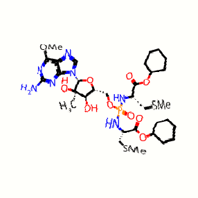 COc1nc(N)nc2c1ncn2[C@@H]1O[C@H](COP(=O)(N[C@@H](CSC)C(=O)OC2CCCCC2)N[C@@H](CSC)C(=O)OC2CCCCC2)[C@@H](O)[C@@]1(C)O